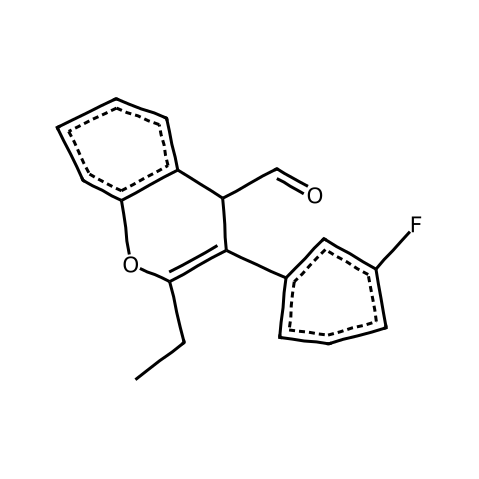 CCC1=C(c2cccc(F)c2)C(C=O)c2ccccc2O1